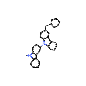 Cn1c2ccccc2c2cc(-n3c4ccccc4c4cc(Cc5ccccc5)ccc43)ccc21